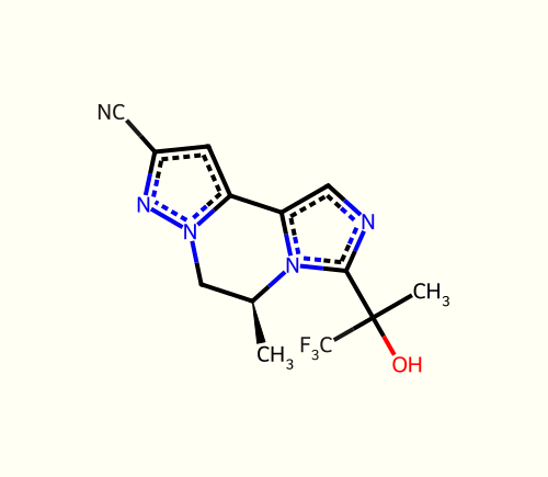 C[C@H]1Cn2nc(C#N)cc2-c2cnc(C(C)(O)C(F)(F)F)n21